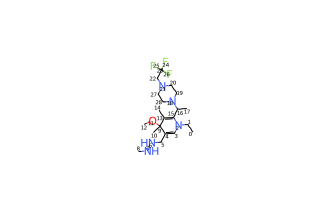 CCN1C=C(CNNC)C(C)(OC)C(C)=C1C(C)N1CCN(CC(F)(F)F)CC1